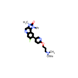 CON(C)CCCOc1ccc(-c2cc3c(cc2F)ncc2c3n(C(C)C)c(=O)n2C)cn1